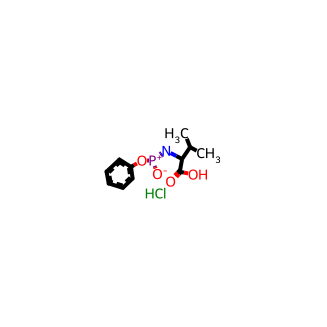 CC(C)C(/N=[P+](\[O-])Oc1ccccc1)C(=O)O.Cl